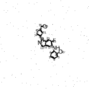 COc1ccccc1Nc1cc2cnn(-c3csc(C=O)c3)c2cc1F